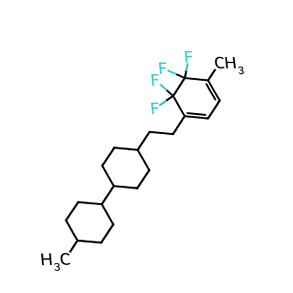 CC1=CC=C(CCC2CCC(C3CCC(C)CC3)CC2)C(F)(F)C1(F)F